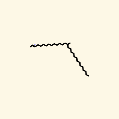 [CH2]/C=C/CCCCCCCCCCCC(C)CCCCCCCCCCCCC[CH2]